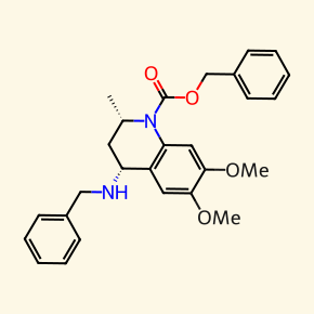 COc1cc2c(cc1OC)N(C(=O)OCc1ccccc1)[C@@H](C)C[C@H]2NCc1ccccc1